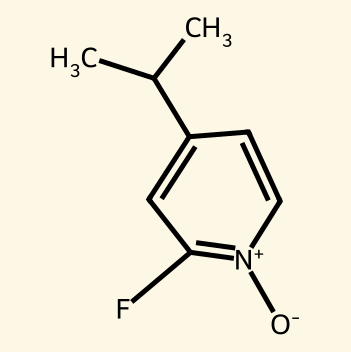 CC(C)c1cc[n+]([O-])c(F)c1